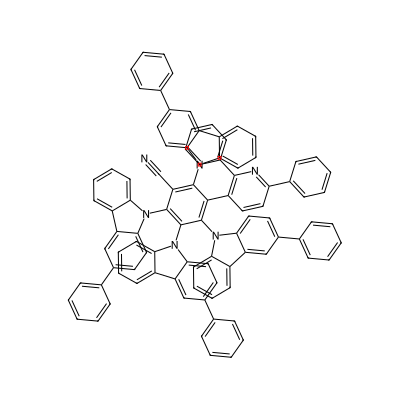 N#Cc1c(-n2c3ccccc3c3cc(-c4ccccc4)ccc32)c(-c2ccc(-c3ccccc3)nc2-c2ccccc2)c(-n2c3ccccc3c3cc(-c4ccccc4)ccc32)c(-n2c3ccccc3c3cc(-c4ccccc4)ccc32)c1-n1c2ccccc2c2cc(-c3ccccc3)ccc21